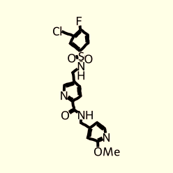 COc1cc(CNC(=O)c2ccc(CNS(=O)(=O)c3ccc(F)c(Cl)c3)cn2)ccn1